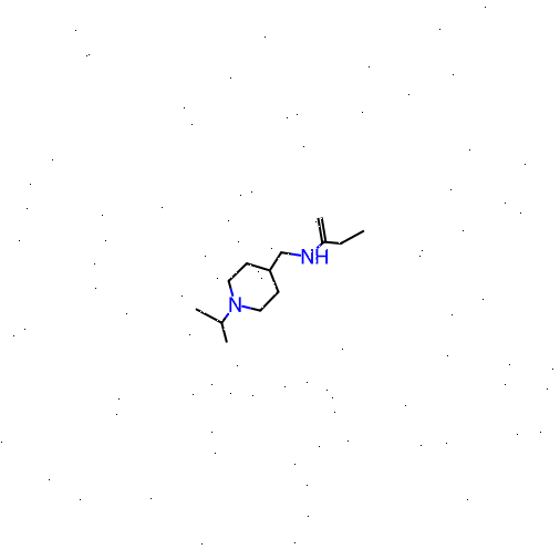 C=C(CC)NCC1CCN(C(C)C)CC1